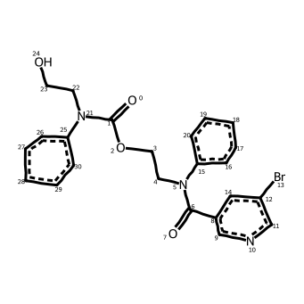 O=C(OCCN(C(=O)c1cncc(Br)c1)c1ccccc1)N(CCO)c1ccccc1